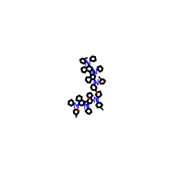 Cc1ccc(N(c2ccccc2)c2cc3c(c4ccccc24)c2c4ccccc4c(N(c4ccc(C)cc4)c4cccc(-c5cccc(N(c6ccccc6C)c6cc7c(c8ccccc68)c6c8ccccc8c(N(c8ccccc8)c8ccccc8C)cc6n7-c6ccccc6)c5)c4)cc2n3-c2ccccc2)cc1